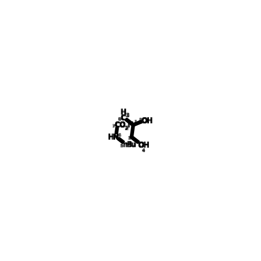 CC(O)CO.CCCCNC(=O)O